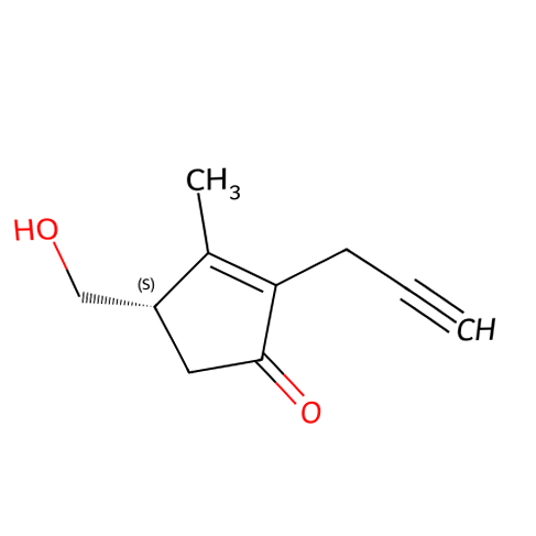 C#CCC1=C(C)[C@@H](CO)CC1=O